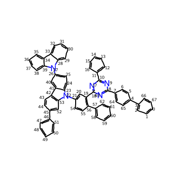 c1ccc(-c2ccc(-c3nc(-c4ccccc4)nc(-c4cc(-n5c6ccc(-n7c8ccccc8c8ccccc87)cc6c6ccc(-c7ccccc7)cc65)ccc4-c4ccccc4)n3)cc2)cc1